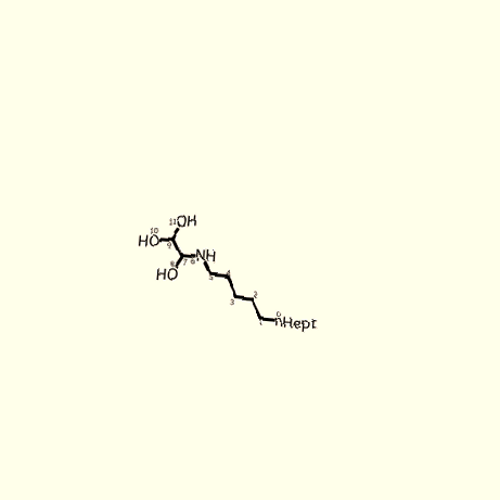 CCCCCCCCCCCCNC(O)C(O)O